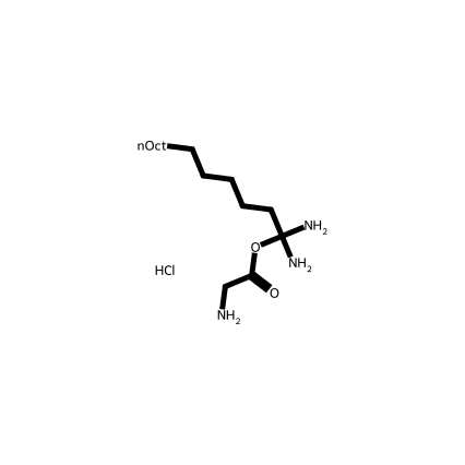 CCCCCCCCCCCCCC(N)(N)OC(=O)CN.Cl